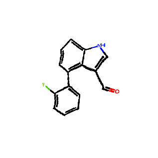 O=Cc1c[nH]c2cccc(-c3ccccc3F)c12